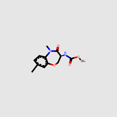 Cc1ccc2c(c1)OC[C@H](NC(=O)OC(C)(C)C)C(=O)N2C